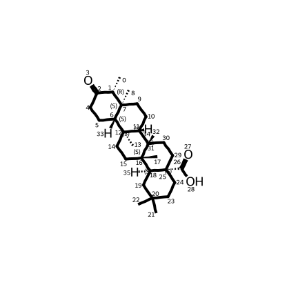 C[C@H]1C(=O)CC[C@@H]2[C@]1(C)CC[C@H]1[C@@]2(C)CC[C@@]2(C)[C@@H]3CC(C)(C)CC[C@]3(C(=O)O)CC[C@@]12C